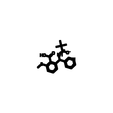 CSc1cccc(C(N[S+]([O-])C(C)(C)C)c2cccnc2)c1C(=O)O